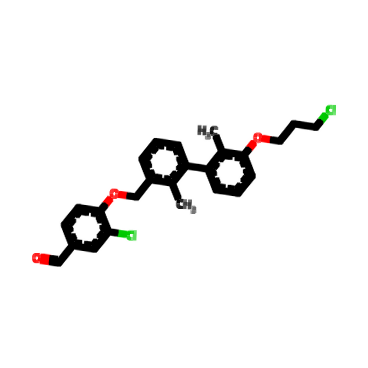 Cc1c(COc2ccc(C=O)cc2Cl)cccc1-c1cccc(OCCCCl)c1C